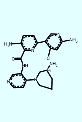 Nc1cc(Cl)c(-c2ccc(N)c(C(=O)Nc3cnccc3N3CCC[C@H](N)C3)n2)cn1